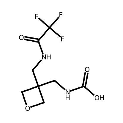 O=C(O)NCC1(CNC(=O)C(F)(F)F)COC1